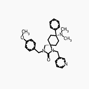 COc1ccc(CN2C[C@]3(CC[C@@](c4ccccc4)(N(C)C)CC3)N(Cc3cccnc3)C2=O)cc1